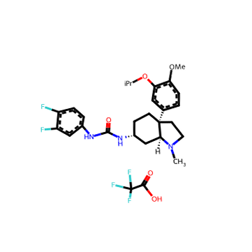 COc1ccc([C@@]23CC[C@@H](NC(=O)Nc4ccc(F)c(F)c4)C[C@@H]2N(C)CC3)cc1OC(C)C.O=C(O)C(F)(F)F